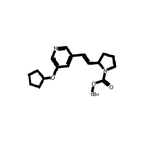 CC(C)(C)OC(=O)N1CCCC1C=Cc1cncc(OC2CCCC2)c1